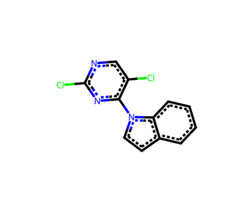 Clc1ncc(Cl)c(-n2ccc3ccccc32)n1